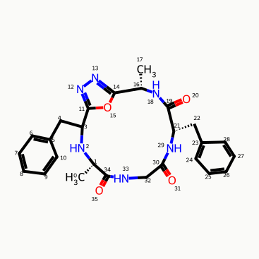 C[C@@H]1NC(Cc2ccccc2)c2nnc(o2)[C@H](C)NC(=O)[C@H](Cc2ccccc2)NC(=O)CNC1=O